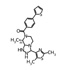 Cc1nc(C2NNC3[C@@H](C)N(C(=O)c4ccc(-c5cccs5)cc4)CCN23)c(C)s1